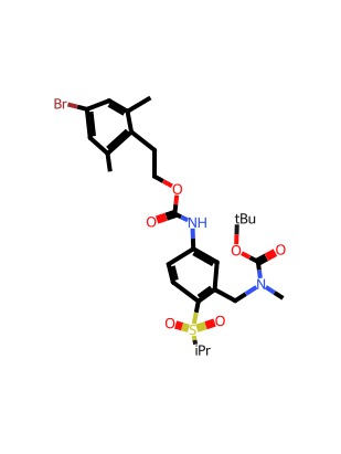 Cc1cc(Br)cc(C)c1CCOC(=O)Nc1ccc(S(=O)(=O)C(C)C)c(CN(C)C(=O)OC(C)(C)C)c1